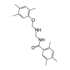 Cc1cc(C)c(OCNCNC(=O)c2cc(C)c(C)cc2C)cc1C